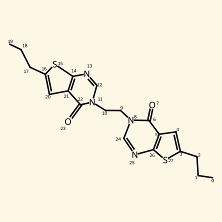 CCCc1cc2c(=O)n(CCn3cnc4sc(CCC)cc4c3=O)cnc2s1